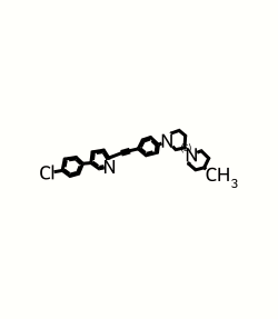 CC1CCN([C@H]2CCCN(c3ccc(C#Cc4ccc(-c5ccc(Cl)cc5)cn4)cc3)C2)CC1